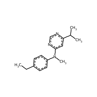 CCc1ccc(N(C)c2cc(C(C)C)ncn2)cc1